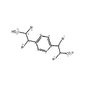 O=C(O)C(Br)C(Br)c1ccc(C(Br)C(Br)C(=O)O)cc1